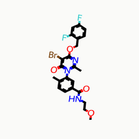 COCCNC(=O)c1ccc(C)c(-n2c(C)nc(OCc3ccc(F)cc3F)c(Br)c2=O)c1